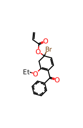 C=CC(=O)OC1(Br)C=CC(C(=O)c2ccccc2)=C(OCC)C1